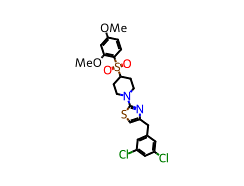 COc1ccc(S(=O)(=O)C2CCN(c3nc(Cc4cc(Cl)cc(Cl)c4)cs3)CC2)c(OC)c1